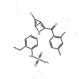 CCc1ccccc1NS(N)(=O)=O.Cc1ccc(C(=O)c2[nH]c3c(F)c2-3)c(C)c1